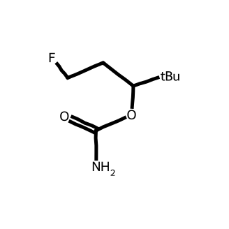 CC(C)(C)C(CCF)OC(N)=O